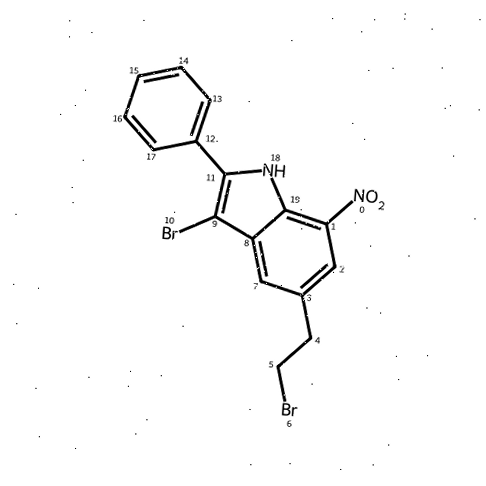 O=[N+]([O-])c1cc(CCBr)cc2c(Br)c(-c3ccccc3)[nH]c12